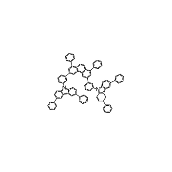 C1=CC(c2ccccc2)Cc2c1n(-c1cccc(-c3cc(-c4ccccc4)c4ccc5c(-c6ccccc6)cc(-c6cccc(-n7c8ccc(-c9ccccc9)cc8c8cc(-c9ccccc9)ccc87)c6)cc5c4c3)c1)c1ccc(-c3ccccc3)cc21